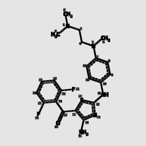 CN(C)CCN(C)c1ccc(Nc2nc(N)c(C(=O)c3c(F)cccc3F)s2)cc1